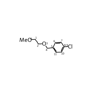 COCCOCc1ccc(Cl)cc1